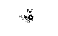 COc1ccccc1S.FC(F)F